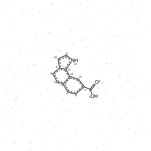 O=C(O)c1ccc2ncc3cc[nH]c3c2c1